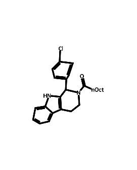 CCCCCCCCC(=O)N1CCc2c([nH]c3ccccc23)C1c1ccc(Cl)cc1